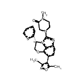 Cc1noc(C)c1-c1ccc2nc(N3CCN(C)C(=O)C3)n3c2c1OC[C@@H]3c1ccccn1